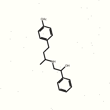 CC(=O)Oc1ccc(CCC(C)NCC(O)c2ccccc2)cc1